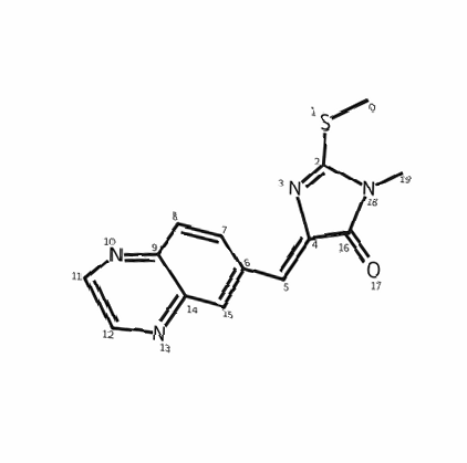 CSC1=N/C(=C\c2ccc3nccnc3c2)C(=O)N1C